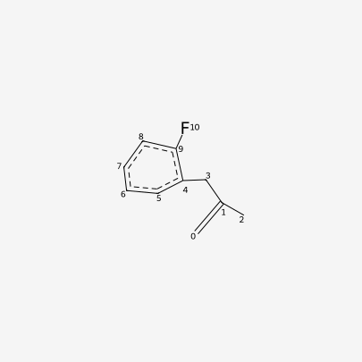 C=C(C)Cc1ccccc1F